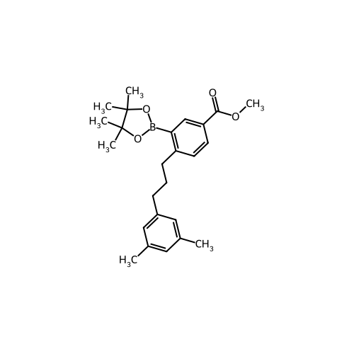 COC(=O)c1ccc(CCCc2cc(C)cc(C)c2)c(B2OC(C)(C)C(C)(C)O2)c1